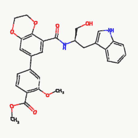 COC(=O)c1ccc(-c2cc3c(c(C(=O)N[C@@H](CO)Cc4c[nH]c5ccccc45)c2)OCCO3)cc1OC